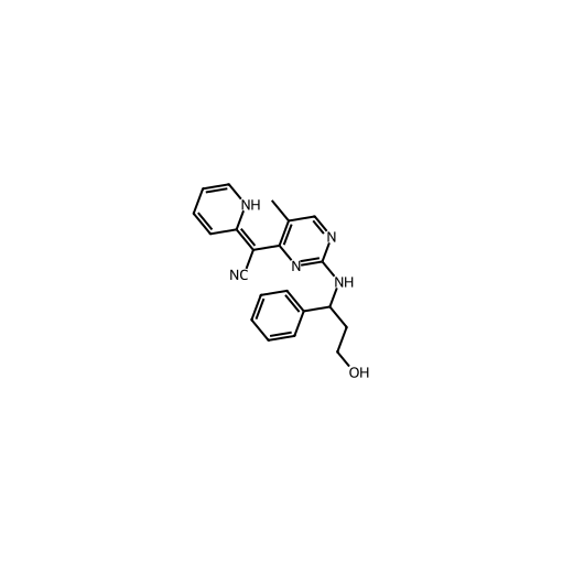 Cc1cnc(NC(CCO)c2ccccc2)nc1/C(C#N)=C1/C=CC=CN1